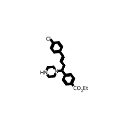 CCOC(=O)c1ccc(C(CC=Cc2ccc(Cl)cc2)N2CCNCC2)cc1